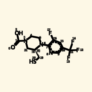 O=C(O)N1CCN(c2ncc(C(F)(F)F)cc2F)[C@H](CS)C1